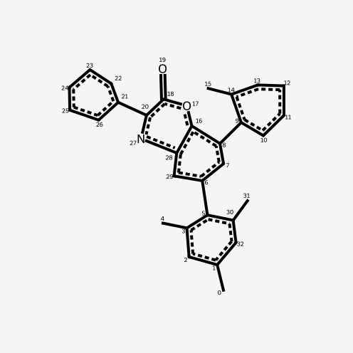 Cc1cc(C)c(-c2cc(-c3ccccc3C)c3oc(=O)c(-c4ccccc4)nc3c2)c(C)c1